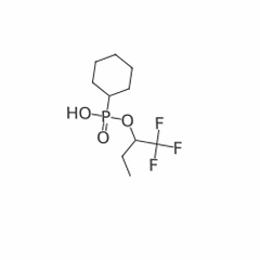 CCC(OP(=O)(O)C1CCCCC1)C(F)(F)F